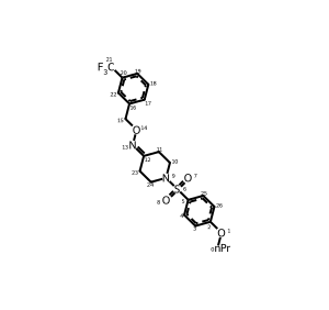 CCCOc1ccc(S(=O)(=O)N2CCC(=NOCc3cccc(C(F)(F)F)c3)CC2)cc1